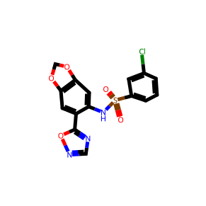 O=S(=O)(Nc1cc2c(cc1-c1ncno1)OCO2)c1cccc(Cl)c1